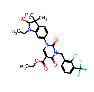 CCOC(=O)c1cn(-c2ccc3c(c2)N(CC)C(O)C3(C)C)c(=O)n(Cc2cccc(C(F)(F)F)c2Cl)c1=O